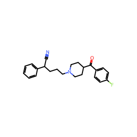 N#CC(CCCN1CCC(C(=O)c2ccc(F)cc2)CC1)c1ccccc1